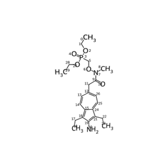 CCOP(=O)(CON(C)C(=O)Cc1ccc2c(CC)c(N)c(CC)c-2cc1)OCC